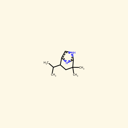 CC(C)C1CC(C)(C)c2nc1c[nH]2